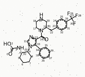 O=C(O)N[C@H]1CCCC[C@@H]1n1cnc(C(=O)N2CCNC[C@H]2Cc2ccc(C(F)(F)F)cc2)c1-c1ccccc1